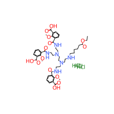 CCOC(=O)CCCCCNCCN(CCNC(=O)c1cccc(C(=O)O)c1OC)CCN(CCNC(=O)c1cccc(C(=O)O)c1OC)CCNC(=O)c1cccc(C(=O)O)c1OC.Cl.Cl.Cl